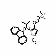 C[C](C)=[Zr+2]([C]1=C(OCO[Si](C)(C)C)C=CC1)[CH]1c2ccccc2-c2ccccc21.[Cl-].[Cl-]